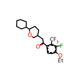 CCOc1ccc(C(=O)CC2CCC(C3CCCCC3)OC2)c(C(F)(F)F)c1F